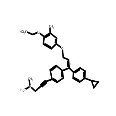 Cc1cc(OC/C=C(\c2ccc(C#CCN(C)C)cc2)c2ccc(C3CC3)cc2)ccc1OCC(=O)O